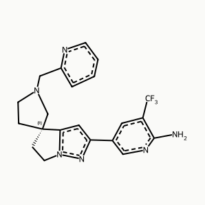 Nc1ncc(-c2cc3n(n2)CC[C@@]32CCN(Cc3ccccn3)C2)cc1C(F)(F)F